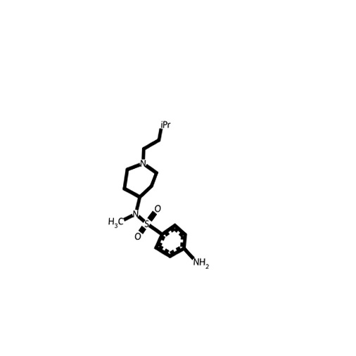 CC(C)CCN1CCC(N(C)S(=O)(=O)c2ccc(N)cc2)CC1